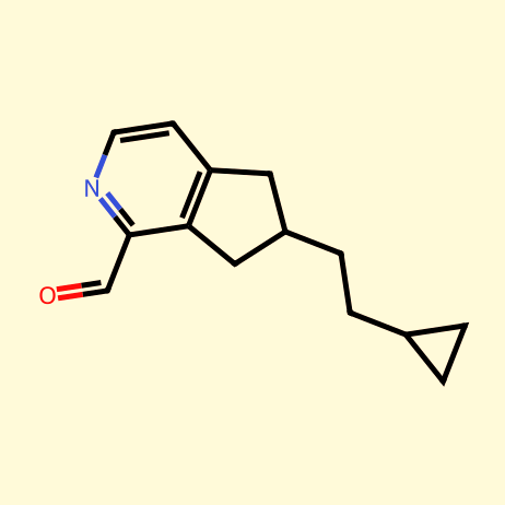 O=Cc1nccc2c1CC(CCC1CC1)C2